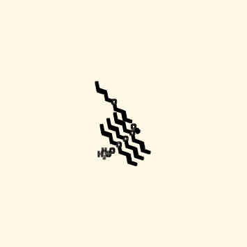 C=O.CC=CCOCC=CC.CC=CCOCC=CC.CC=CCOCC=CC.CC=CCOCC=CC.O.O